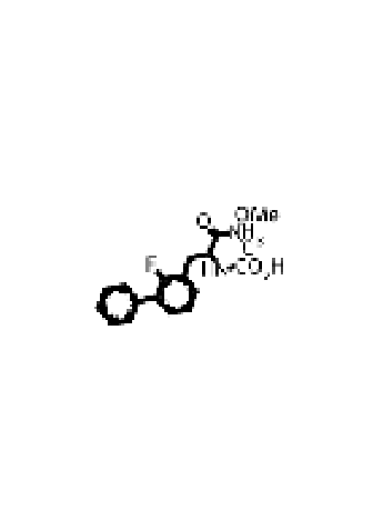 CON(C)C(=O)C(Cc1cccc(-c2ccccc2)c1F)NC(=O)O